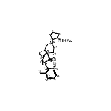 CC(=O)N[C@@H]1CCC[C@H]1N1CCC(C(=O)Nc2c(C)cccc2C)(N(C)C)CC1